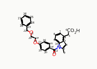 Cc1cc2c(CC(=O)O)cccc2n1C(=O)c1ccc(OCCOCc2ccccc2)cc1